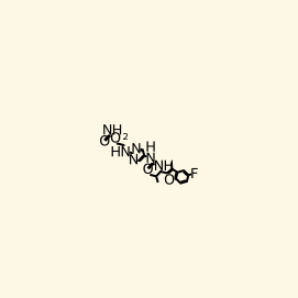 Cc1c(C(NC(=O)Nc2cnc(NCCOC(N)=O)nc2)C(C)C)oc2ccc(F)cc12